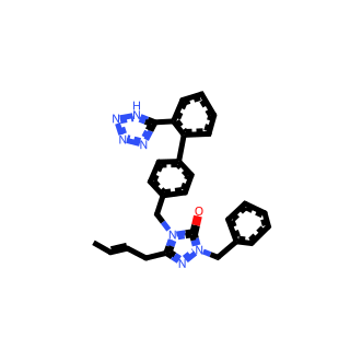 C/C=C/Cc1nn(Cc2ccccc2)c(=O)n1Cc1ccc(-c2ccccc2-c2nnn[nH]2)cc1